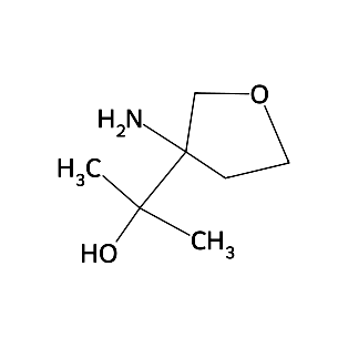 CC(C)(O)C1(N)CCOC1